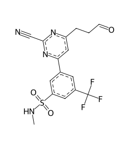 CNS(=O)(=O)c1cc(-c2cc(CCC=O)nc(C#N)n2)cc(C(F)(F)F)c1